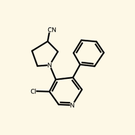 N#CC1CCN(c2c(Cl)cncc2-c2ccccc2)C1